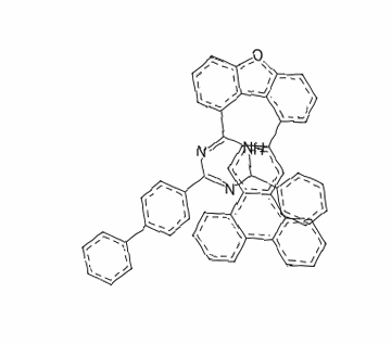 c1ccc(-c2ccc(C3=NC(c4ccccc4)NC(c4cccc5oc6cccc(-c7ccc8c9ccccc9c9ccccc9c8c7)c6c45)=N3)cc2)cc1